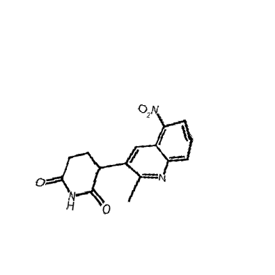 Cc1nc2cccc([N+](=O)[O-])c2cc1C1CCC(=O)NC1=O